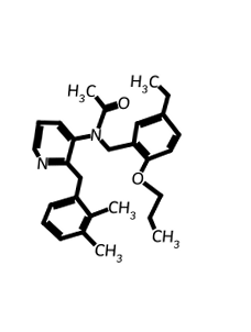 CCCOc1ccc(CC)cc1CN(C(C)=O)c1cccnc1Cc1cccc(C)c1C